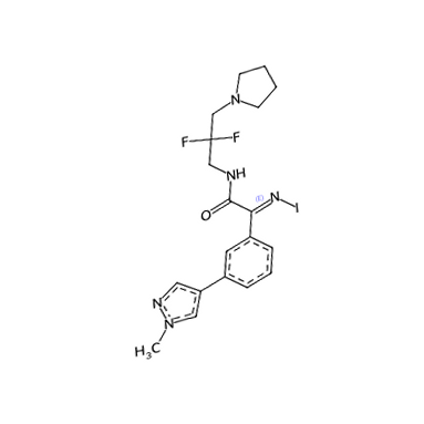 Cn1cc(-c2cccc(/C(=N\I)C(=O)NCC(F)(F)CN3CCCC3)c2)cn1